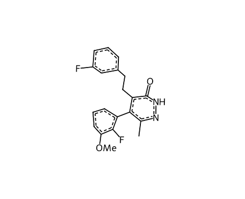 COc1cccc(-c2c(C)n[nH]c(=O)c2CCc2cccc(F)c2)c1F